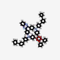 c1ccc(-c2ccc(-c3ccc(N(c4ccc(-c5cccc(-c6ccccc6)c5)cc4)c4ccc(-c5nc6ccccc6nc5-c5ccc(N(c6ccc(-c7ccc(-c8ccccc8)cc7)cc6)c6ccc(-c7cccc(-c8ccccc8)c7)cc6)cc5)cc4)cc3)cc2)cc1